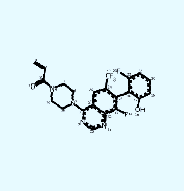 C=CC(=O)N1CCN(c2ncnc3c(F)c(-c4c(O)cccc4F)c(C(F)(F)F)cc23)CC1